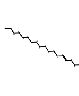 [CH2]CC/C=C/CCCCCCCCCCCCC